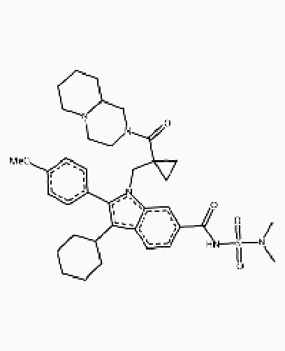 COc1ccc(-c2c(C3CCCCC3)c3ccc(C(=O)NS(=O)(=O)N(C)C)cc3n2CC2(C(=O)N3CCN4CCCCC4C3)CC2)cc1